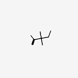 CCC(C)(C)C(=S)S